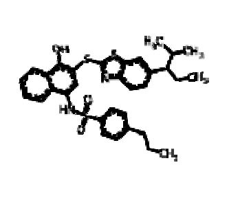 CCCc1ccc(S(=O)(=O)Nc2cc(Sc3nc4ccc(C(CC)C(C)C)cc4s3)c(O)c3ccccc23)cc1